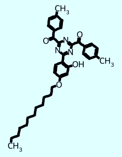 CCCCCCCCCCCCOc1ccc(-c2nc(C(=O)c3ccc(C)cc3)nc(C(=O)c3ccc(C)cc3)n2)c(O)c1